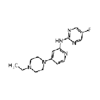 CCN1CCN(c2ccnc(Nc3ncc(F)cn3)c2)CC1